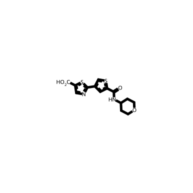 O=C(O)c1cnc(-c2csc(C(=O)NC3CCOCC3)c2)s1